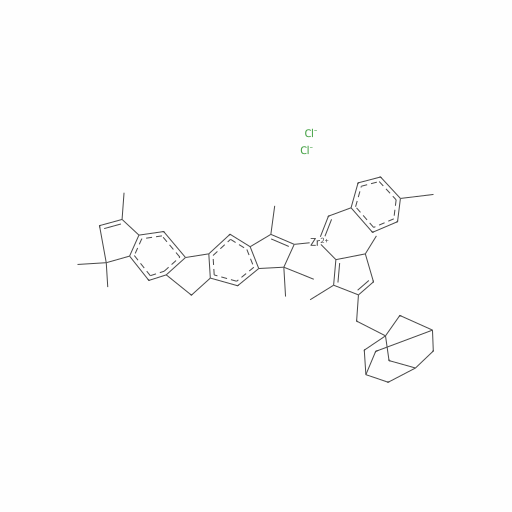 CC1=CC(C)(C)c2cc3c(cc21)-c1cc2c(cc1C3)C(C)(C)[C]([Zr+2](=[CH]c1ccc(C)cc1)[C]1=C(C)C(CC34CC5CC(CC(C5)C3)C4)=CC1C)=C2C.[Cl-].[Cl-]